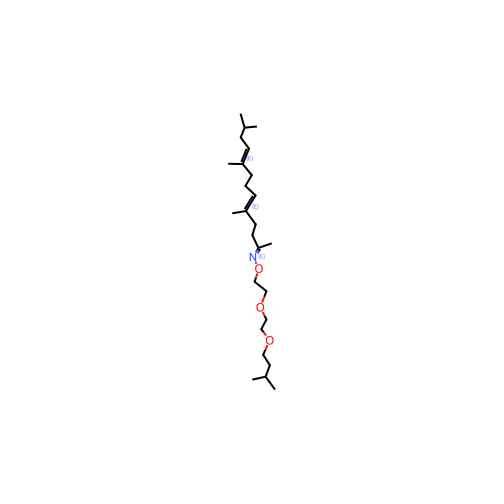 C/C(=C\CC(C)C)CC/C=C(\C)CC/C(C)=N/OCCOCCOCCC(C)C